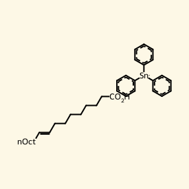 CCCCCCCCC=CCCCCCCCC(=O)O.c1cc[c]([Sn]([c]2ccccc2)[c]2ccccc2)cc1